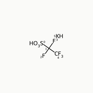 O=S(=O)(O)C(F)(F)C(F)(F)F.[KH]